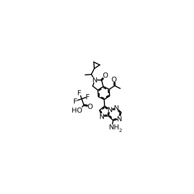 CC(=O)c1cc(-c2cnc3c(N)ncnn23)cc2c1C(=O)N(C(C)C1CC1)C2.O=C(O)C(F)(F)F